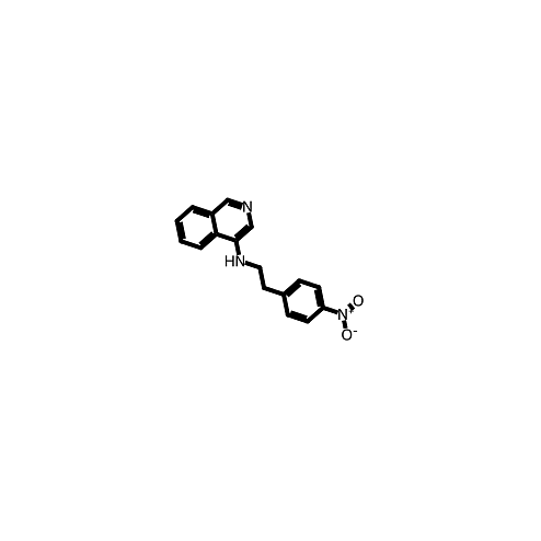 O=[N+]([O-])c1ccc(CCNc2cncc3ccccc23)cc1